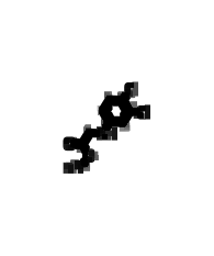 CCCOC(=O)CNc1ccc(Cl)c(Cl)c1